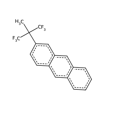 CC(c1ccc2cc3ccccc3cc2c1)(C(F)(F)F)C(F)(F)F